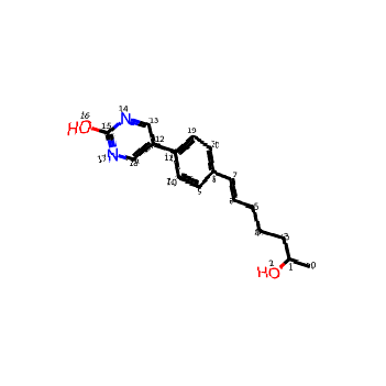 CC(O)CCCC=Cc1ccc(-c2cnc(O)nc2)cc1